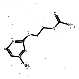 NC(=O)OCCOc1cc(N)ccn1